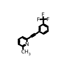 Cc1cccc(C#Cc2cccc(C(F)(F)F)c2)n1